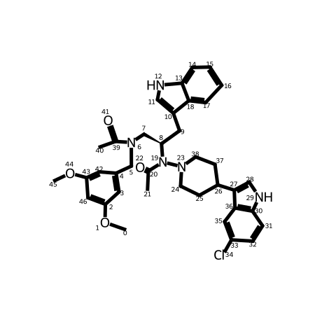 COc1cc(CN(C[C@@H](Cc2c[nH]c3ccccc23)N(C(C)=O)N2CCC(c3c[nH]c4ccc(Cl)cc34)CC2)C(C)=O)cc(OC)c1